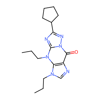 CCCn1cnc2c(=O)n3nc(C4CCCC4)nc3n(CCC)c21